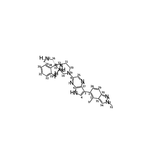 Cc1c(-c2c[nH]c3nc(N4CC[C@@H]5[C@H](C4)[C@@]5(CN)c4ccccc4F)cnc23)ccc2nn(C)cc12